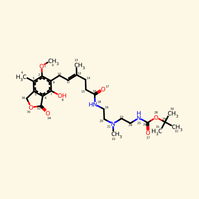 COc1c(C)c2c(c(O)c1C/C=C(\C)CCC(=O)NCCN(C)CCNC(=O)OC(C)(C)C)C(=O)OC2